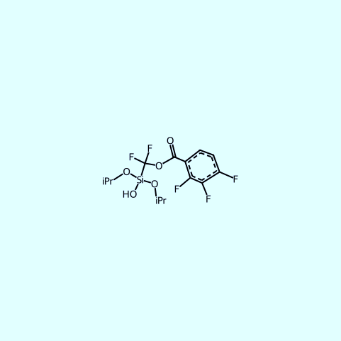 CC(C)O[Si](O)(OC(C)C)C(F)(F)OC(=O)c1ccc(F)c(F)c1F